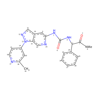 CNC(=O)C(NC(=O)Nc1cc2cnn(-c3ccnc(C)c3)c2cn1)c1ccccc1